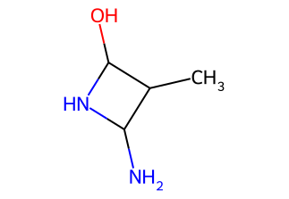 CC1C(N)NC1O